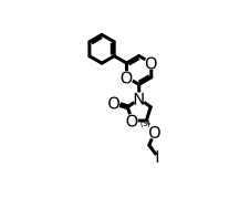 O=C1O[C@@H](OCI)CN1C1=COC=C(C2=CC=CCC2)O1